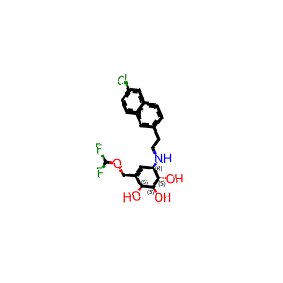 O[C@@H]1[C@@H](O)[C@@H](O)C(COC(F)F)=C[C@H]1NCCc1ccc2cc(Cl)ccc2c1